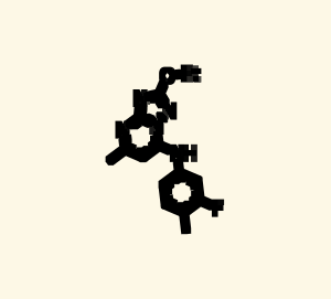 CCOc1nc2nc(C)cc(Nc3ccc(C)c(F)c3)n2n1